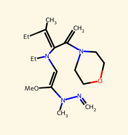 C=NN(C)/C(=C/N(CC)/C(C(=C)N1CCOCC1)=C(/C)CC)OC